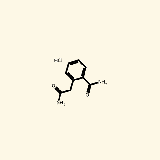 Cl.NC(=O)Cc1ccccc1C(N)=O